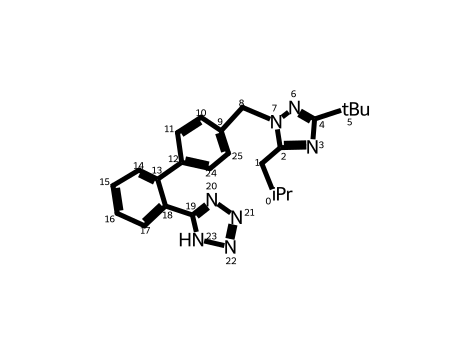 CC(C)Cc1nc(C(C)(C)C)nn1Cc1ccc(-c2ccccc2-c2nnn[nH]2)cc1